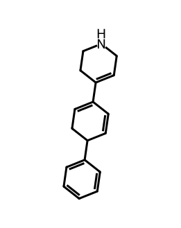 C1=CC(c2ccccc2)CC=C1C1=CCNCC1